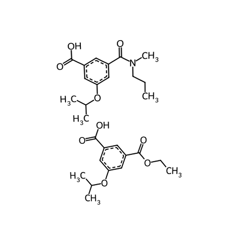 CCCN(C)C(=O)c1cc(OC(C)C)cc(C(=O)O)c1.CCOC(=O)c1cc(OC(C)C)cc(C(=O)O)c1